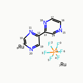 F[P-](F)(F)(F)(F)F.[Ru].[Ru].c1cnc(-c2cnccn2)cn1